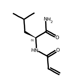 C=CC(=O)N[C@@H](CC(C)C)C(N)=O